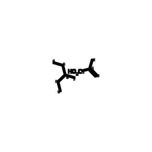 C=C(C)C(=O)O.CCC(C)CC